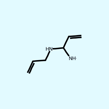 C=CCNC([NH])C=C